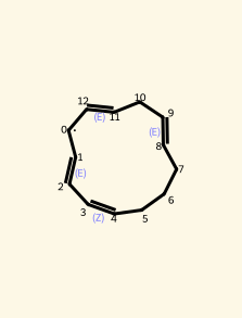 [CH]1/C=C/C=C\CCC/C=C/C/C=C/1